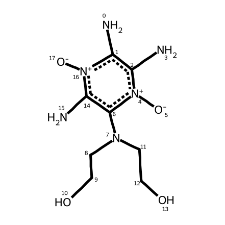 Nc1c(N)[n+]([O-])c(N(CCO)CCO)c(N)[n+]1[O-]